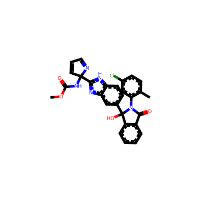 COC(=O)NC1(c2nc3cc(C4(O)c5ccccc5C(=O)N4c4cc(Cl)ccc4C)ccc3[nH]2)C=CC=N1